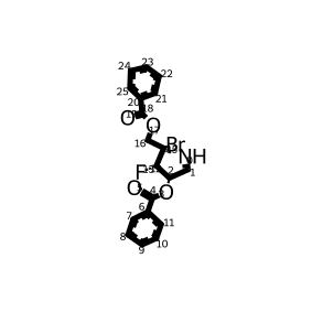 N=C[C@H](OC(=O)c1ccccc1)[C@H](F)[C@@H](Br)COC(=O)c1ccccc1